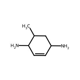 CC1CC(N)C=CC1N